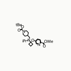 COC(=O)c1ccc(OC2(N(CC3CCN(C(=O)OC(C)(C)C)CC3)C(C)C)CCC2)cn1